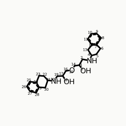 OC(CNC1CCc2ccccc2C1)COCC(O)CNC1CCc2ccccc2C1